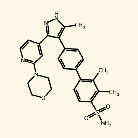 Cc1[nH]nc(-c2ccnc(N3CCOCC3)c2)c1-c1ccc(-c2ccc(S(N)(=O)=O)c(C)c2C)cc1